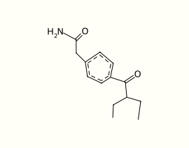 CCC(CC)C(=O)c1ccc(CC(N)=O)cc1